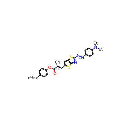 CCCCCCc1ccc(OC(=O)/C(C#N)=C/c2cc3sc(/N=N/c4ccc(N(CC)CC)cc4)nc3s2)cc1